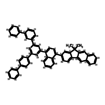 CC1(C)c2cc(-c3ccc(-c4cc(-c5cccc(-c6ccccc6)c5)nc(-c5ccc(-c6ccccc6)cc5)n4)c4ccccc34)ccc2-c2cc3ccccc3cc21